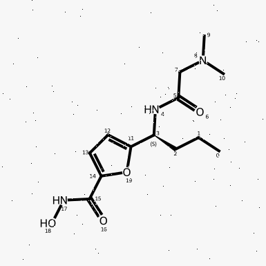 CCC[C@H](NC(=O)CN(C)C)c1ccc(C(=O)NO)o1